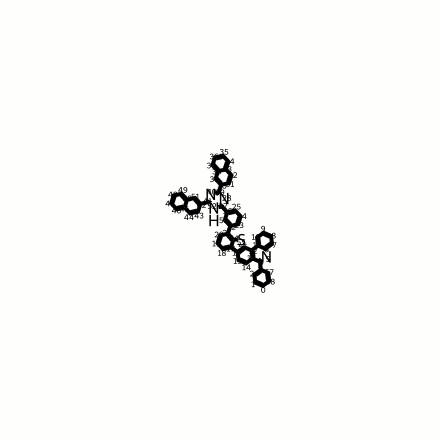 c1ccc(-c2nc3ccccc3c3c2ccc2c4cccc(-c5cccc(C6N=C(c7ccc8ccccc8c7)N=C(c7ccc8ccccc8c7)N6)c5)c4sc23)cc1